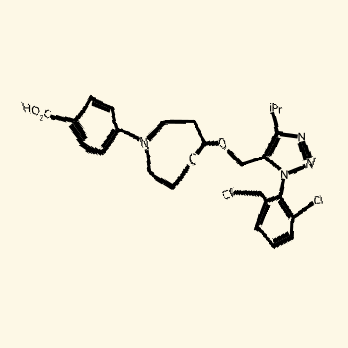 CC(C)c1nnn(-c2c(Cl)cccc2Cl)c1COC1CCCN(c2ccc(C(=O)O)cc2)CC1